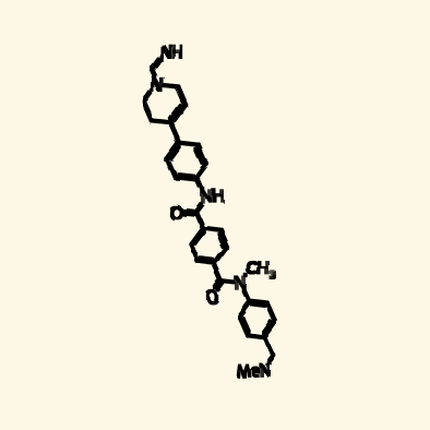 CNCc1ccc(N(C)C(=O)c2ccc(C(=O)Nc3ccc(C4=CCN(C=N)CC4)cc3)cc2)cc1